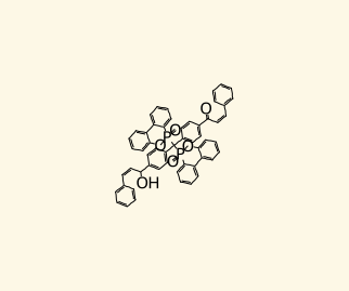 O=C(/C=C\c1ccccc1)c1ccc(C(c2ccc(C(O)/C=C\c3ccccc3)cc2)(P2(=O)Oc3ccccc3-c3ccccc32)P2(=O)Oc3ccccc3-c3ccccc32)cc1